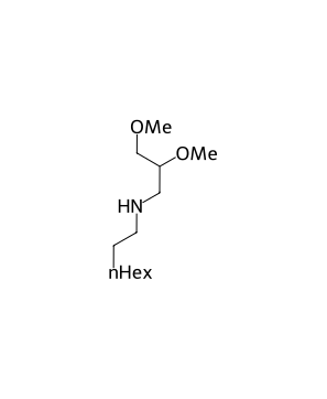 CCCCCCCCNCC(COC)OC